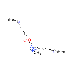 CCCCCC/C=C/CCCCCCCC(=O)OCCN1CC[N+](C)=C1CCCCCCC/C=C/CCCCCC